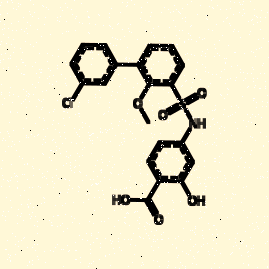 COc1c(-c2cccc(Cl)c2)cccc1S(=O)(=O)Nc1ccc(C(=O)O)c(O)c1